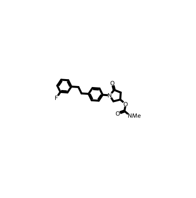 CNC(=O)OC1CC(=O)N(c2ccc(CCc3cccc(F)c3)cc2)C1